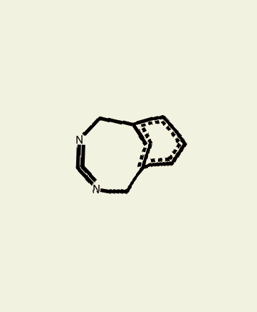 C1=NCc2cccc(c2)CN=1